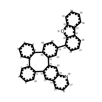 c1ccc2c(c1)-c1ccccc1-c1cc3cccnc3cc1-c1cc(-c3cccc4c3oc3ccccc34)ccc1-2